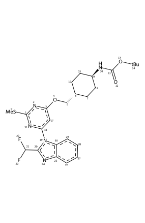 CSc1nc(OC[C@H]2CC[C@H](NC(=O)OC(C)(C)C)CC2)cc(-n2c(C(F)F)nc3ccccc32)n1